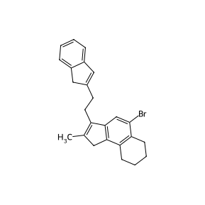 CC1=C(CCC2=Cc3ccccc3C2)c2cc(Br)c3c(c2C1)CCCC3